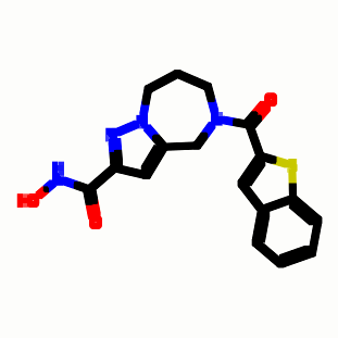 O=C(NO)c1cc2n(n1)CCCN(C(=O)c1cc3ccccc3s1)C2